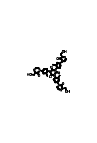 Cc1cc(-n2ccnc(CO)c2=O)ccc1-n1c(=O)n(-c2ccc(-n3ccnc(CO)c3=O)cc2C)c(=O)n(-c2ccc(-n3ccnc(CO)c3=O)cc2C)c1=O